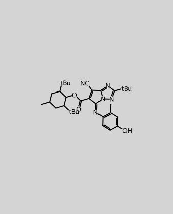 Cc1cc(O)ccc1/N=C1/C(C(=O)OC2C(C(C)(C)C)CC(C)CC2C(C)(C)C)=C(C#N)c2nc(C(C)(C)C)nn21